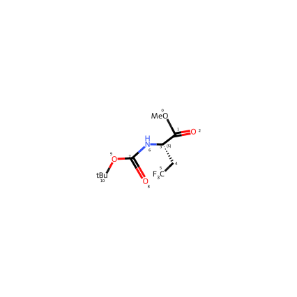 COC(=O)[C@H](CC(F)(F)F)NC(=O)OC(C)(C)C